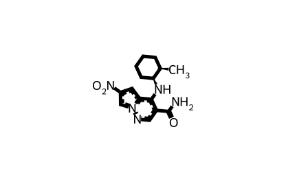 C[C@@H]1CCCC[C@@H]1Nc1c(C(N)=O)cnn2cc([N+](=O)[O-])cc12